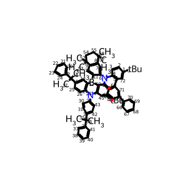 CC(C)(C)c1ccc(N2c3cc4c(cc3B3c5cc(C(C)(C)c6ccccc6)ccc5N(c5ccc(C(C)(C)c6ccccc6)cc5)c5cc(C(C)(C)C)cc2c53)C(C)(C)CCC4(C)C)c(-c2cccc(-c3ccccc3)c2)c1